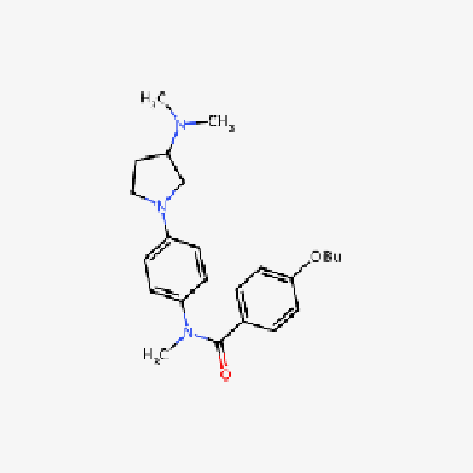 CC(C)COc1ccc(C(=O)N(C)c2ccc(N3CCC(N(C)C)C3)cc2)cc1